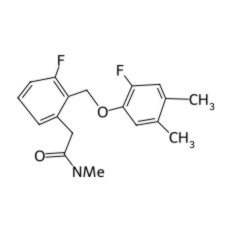 CNC(=O)Cc1cccc(F)c1COc1cc(C)c(C)cc1F